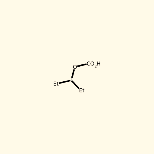 CCI(CC)OC(=O)O